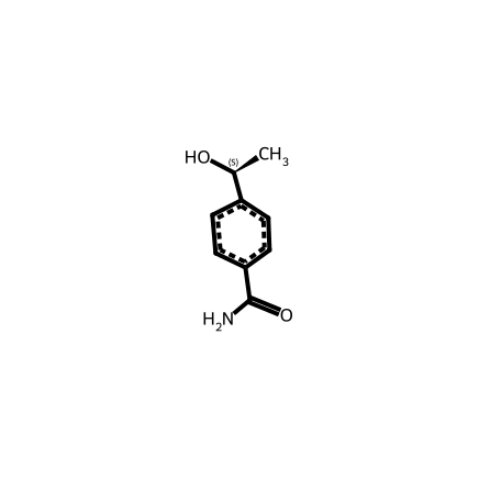 C[C@H](O)c1ccc(C(N)=O)cc1